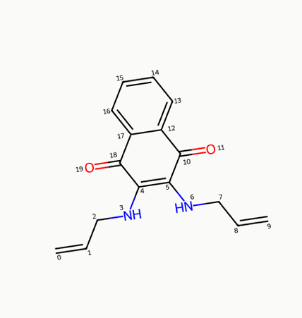 C=CCNC1=C(NCC=C)C(=O)c2ccccc2C1=O